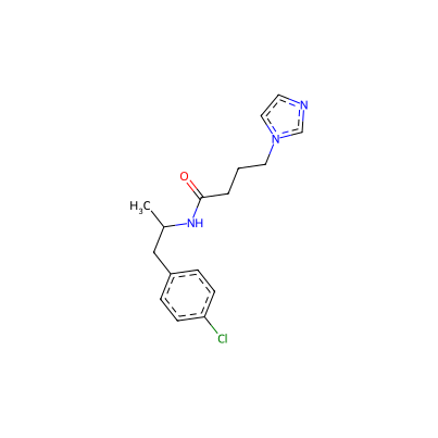 CC(Cc1ccc(Cl)cc1)NC(=O)CCCn1ccnc1